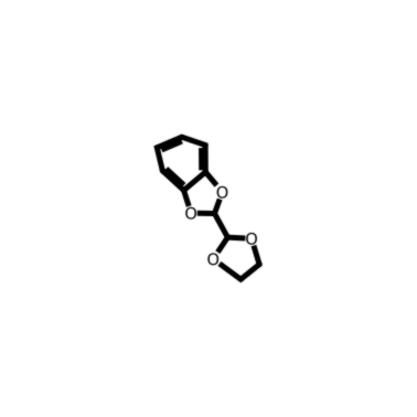 c1ccc2c(c1)OC(C1OCCO1)O2